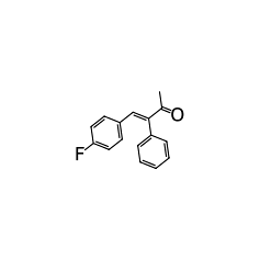 CC(=O)/C(=C/c1ccc(F)cc1)c1ccccc1